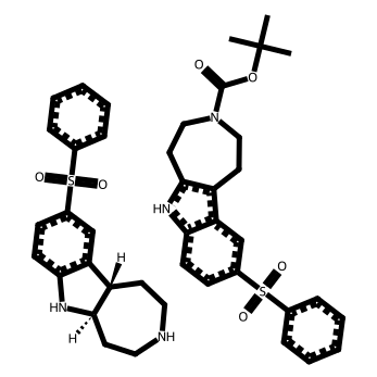 CC(C)(C)OC(=O)N1CCc2[nH]c3ccc(S(=O)(=O)c4ccccc4)cc3c2CC1.O=S(=O)(c1ccccc1)c1ccc2c(c1)[C@@H]1CCNCC[C@H]1N2